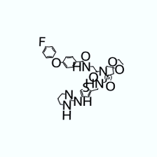 O=C(NCC(=O)N1CC2(C[C@H]1C(=O)NCc1cc(NC3=NCCCN3)cs1)OCCO2)c1ccc(Oc2ccc(F)cc2)cc1